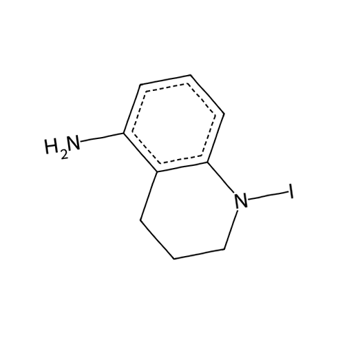 Nc1cccc2c1CCCN2I